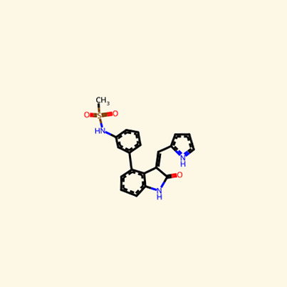 CS(=O)(=O)Nc1cccc(-c2cccc3c2C(=Cc2ccc[nH]2)C(=O)N3)c1